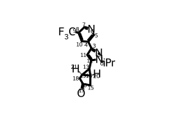 CC(C)n1nc(-c2cncc(C(F)(F)F)c2)cc1C1[C@H]2CC(=O)C[C@@H]12